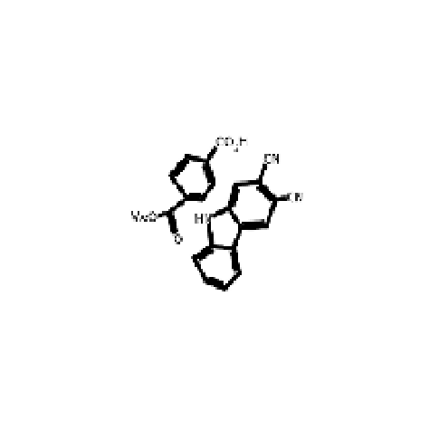 COC(=O)c1ccc(C(=O)O)cc1.N#Cc1cc2[nH]c3ccccc3c2cc1C#N